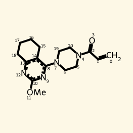 C=CC(=O)N1CCN(c2nc(OC)nc3c2CCCC3)CC1